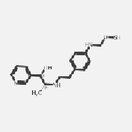 C[C@@H](NCCc1ccc(NCOS)cc1)[C@H](O)c1cccnc1